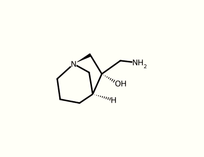 NC[C@]1(O)C[N@]2CCC[C@H]1C2